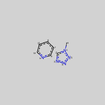 Cn1cnnn1.c1ccncc1